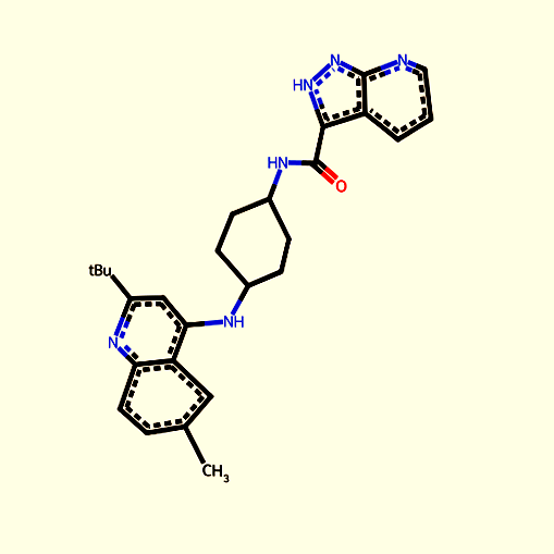 Cc1ccc2nc(C(C)(C)C)cc(NC3CCC(NC(=O)c4[nH]nc5ncccc45)CC3)c2c1